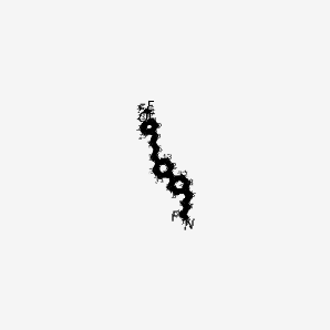 N#CC(F)=CC=CC1CCC(C2CCC(CCCCc3ccc(OC(F)(F)F)cc3)CC2)CC1